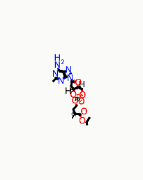 Cc1nc(N)c2ncn([C@H]3C[C@@H]4O[P@](=O)(OCC[C@H](C)C(=O)OC(C)C)OC[C@H]4O3)c2n1